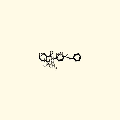 CS(=O)(=O)N1CCOCC1C(=O)Nc1ccc(SCc2ccccc2)nn1